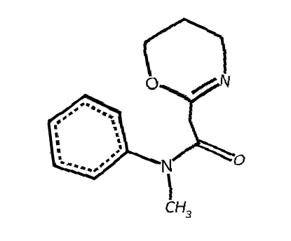 CN(C(=O)C1=NCCCO1)c1ccccc1